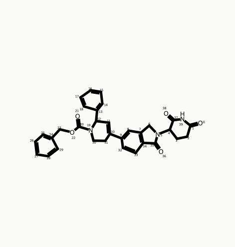 O=C1CCC(N2Cc3cc(C4=CC(c5ccccc5)N(C(=O)OCc5ccccc5)CC4)ccc3C2=O)C(=O)N1